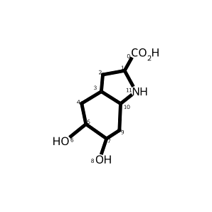 O=C(O)C1CC2CC(O)C(O)CC2N1